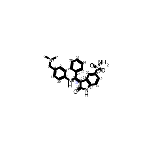 CN(C)Cc1ccc(N/C(=C2\C(=O)Nc3ccc(S(N)(=O)=O)cc32)c2ccccc2)cc1